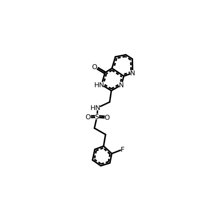 O=c1[nH]c(CNS(=O)(=O)CCc2ccccc2F)nc2ncccc12